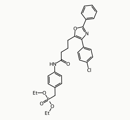 CCOP(=O)(Cc1ccc(NC(=O)CCCc2oc(-c3ccccc3)nc2-c2ccc(Cl)cc2)cc1)OCC